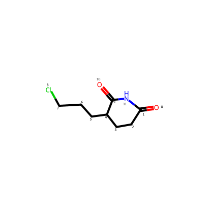 O=C1CCC(CCCCl)C(=O)N1